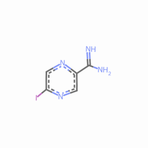 N=C(N)c1cnc(I)cn1